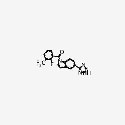 O=C(c1cccc(C(F)(F)F)c1F)n1ccc2cc(-c3nn[nH]n3)ccc21